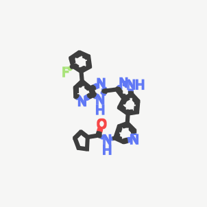 O=C(Nc1cncc(-c2ccc3[nH]nc(-c4nc5c(-c6ccccc6F)ccnc5[nH]4)c3c2)c1)C1CCCC1